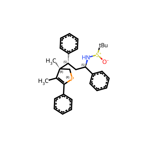 CC1=C(c2ccccc2)[P@@]2C[C@]1(C)[C@H](c1ccccc1)C2[C@@H](N[S+]([O-])C(C)(C)C)c1ccccc1